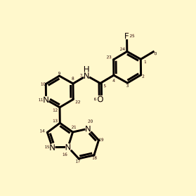 Cc1ccc(C(=O)Nc2ccnc(-c3cnn4cccnc34)c2)cc1F